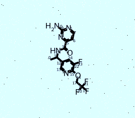 CC(NC(=O)c1ccnc(N)n1)c1cnc(OCC(F)(F)F)c(F)c1